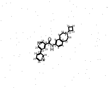 O=C(Nc1ccc2c(c1)CCN(C1CCC1)CC2)c1cncc(-c2cccnc2)c1